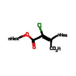 CCCCCCOC(=O)C(Cl)=C(CCCCCC)C(=O)O